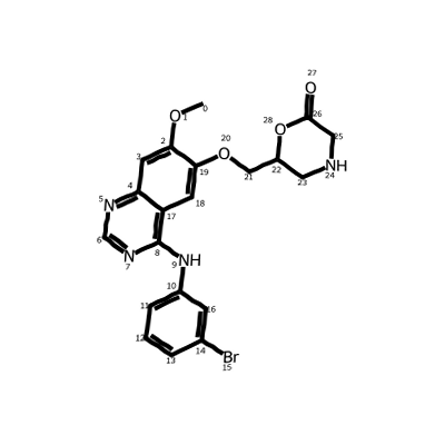 COc1cc2ncnc(Nc3cccc(Br)c3)c2cc1OCC1CNCC(=O)O1